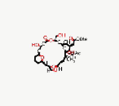 COC(=O)/C=C1\C[C@@]2(C)C[C@H](CO)OC(=O)C[C@H](O)C[C@@H]3CCC[C@H](C[C@@H]4CO[C@H](/C=C/C(C)(C)[C@](O)(C2)[C@H]1OC(C)=O)O4)O3